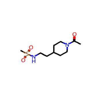 CC(=O)N1CCC(CCNS(C)(=O)=O)CC1